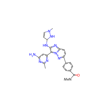 CNC(=O)c1ccc(-c2ccc3nc(NC4C=CN(C)N4)c(-c4cc(N)nc(C)n4)n3n2)cc1